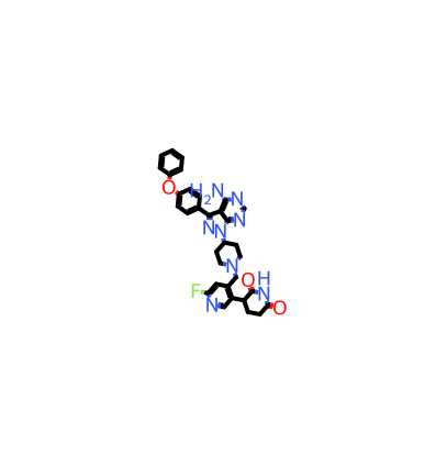 Nc1ncnc2c1c(-c1ccc(Oc3ccccc3)cc1)nn2C1CCN(Cc2cc(F)ncc2C2CCC(=O)NC2=O)CC1